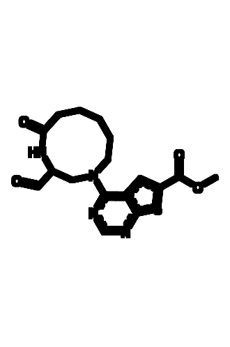 COC(=O)c1cc2c(N3CCCCCC(=O)NC(C=O)C3)ncnc2s1